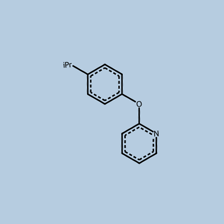 CC(C)c1ccc(Oc2ccccn2)cc1